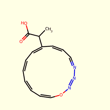 CC(C(=O)O)C1=CC=CC=CC=CON=NN=CC=C1